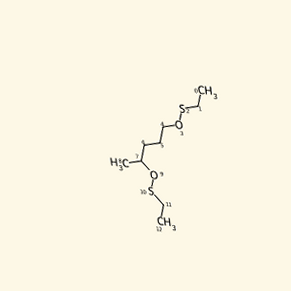 CCSOCCCC(C)OSCC